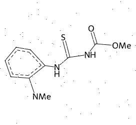 CNc1ccccc1NC(=S)NC(=O)OC